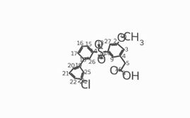 COc1cc(CC(=O)O)cc(S(=O)(=O)c2cccc(-c3cccc(Cl)c3)c2)c1